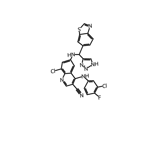 N#Cc1cnc2c(Cl)cc(NC(c3ccc4ncsc4c3)c3c[nH]nn3)cc2c1Nc1ccc(F)c(Cl)c1